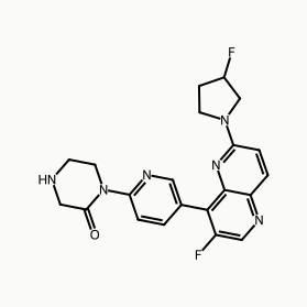 O=C1CNCCN1c1ccc(-c2c(F)cnc3ccc(N4CCC(F)C4)nc23)cn1